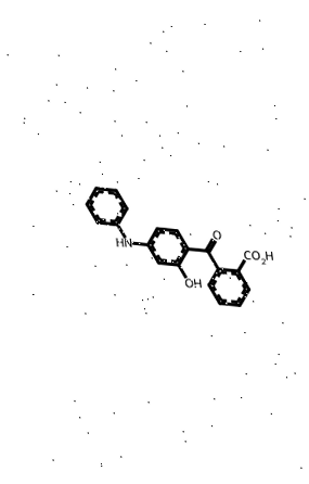 O=C(O)c1ccccc1C(=O)c1ccc(Nc2ccccc2)cc1O